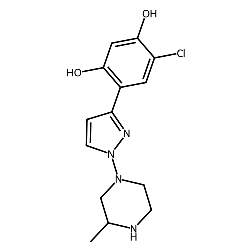 CC1CN(n2ccc(-c3cc(Cl)c(O)cc3O)n2)CCN1